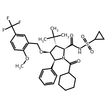 COc1ccc(C(F)(F)F)cc1CO[C@H]1[C@H](C(C)(C)C)[C@@H](C(=O)NS(=O)(=O)C2CC2)N(C(=O)C2CCCCC2)[C@H]1c1ccccc1